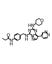 CCC(=O)Nc1ccc(CNc2nc(NC3CCOCC3)nc3c(-c4ccnnc4)cnn23)cc1